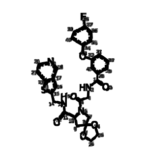 O=C(NCC(=O)N1CC2(CC1C(=O)NCc1cc3cnccc3s1)OCCO2)c1cccc(Oc2ccc(F)cc2)c1